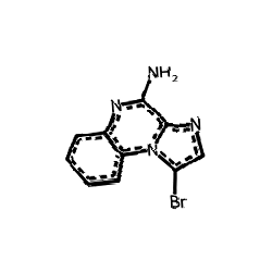 Nc1nc2ccccc2n2c(Br)cnc12